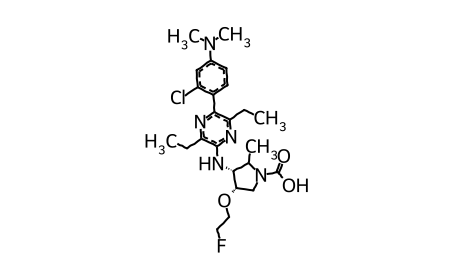 CCc1nc(-c2ccc(N(C)C)cc2Cl)c(CC)nc1N[C@@H]1C(C)N(C(=O)O)C[C@@H]1OCCF